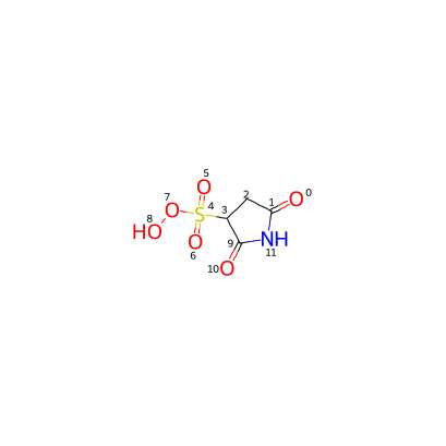 O=C1CC(S(=O)(=O)OO)C(=O)N1